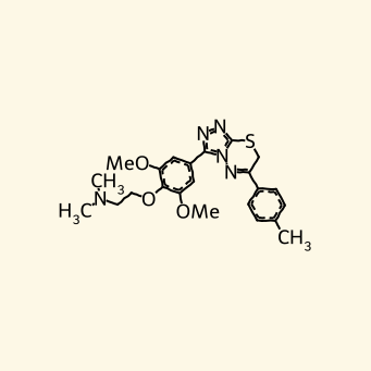 COc1cc(-c2nnc3n2N=C(c2ccc(C)cc2)CS3)cc(OC)c1OCCN(C)C